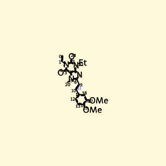 C=Cn1c(=O)c2c(nc(/C=C/c3ccc(OC)c(OC)c3)n2C)n(CC)c1=O